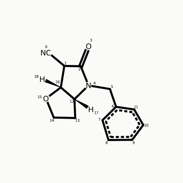 N#CC1C(=O)N(Cc2ccccc2)[C@@H]2CCO[C@H]12